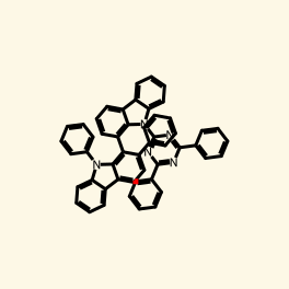 c1ccc(-c2nc(-c3ccccc3)nc(-n3c4ccccc4c4cccc(-c5c(-c6ccccc6)ccc6c7ccccc7n(-c7ccccc7)c56)c43)n2)cc1